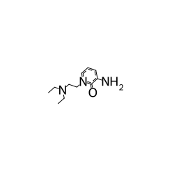 CCN(CC)CCn1cccc(N)c1=O